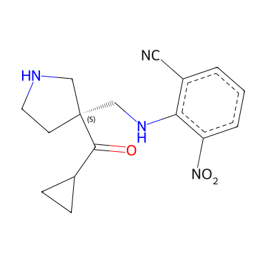 N#Cc1cccc([N+](=O)[O-])c1NC[C@]1(C(=O)C2CC2)CCNC1